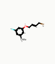 COc1cc(F)cc(OC/C=C/CBr)c1